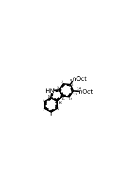 CCCCCCCCc1cc2[nH]c3ccccc3c2cc1CCCCCCCC